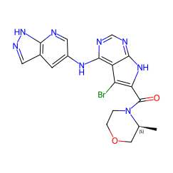 C[C@H]1COCCN1C(=O)c1[nH]c2ncnc(Nc3cnc4[nH]ncc4c3)c2c1Br